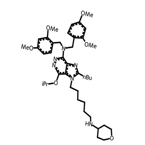 CCCCc1nc2c(N(Cc3ccc(OC)cc3OC)Cc3ccc(OC)cc3OC)nnc(OC(C)C)c2n1CCCCCCNC1CCOCC1